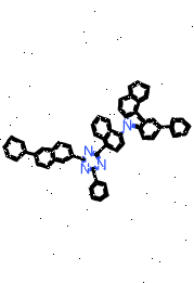 c1ccc(-c2ccc3cc(-c4nc(-c5ccccc5)nc(-c5ccc(-n6c7ccc(-c8ccccc8)cc7c7c8ccccc8ccc76)c6ccccc56)n4)ccc3c2)cc1